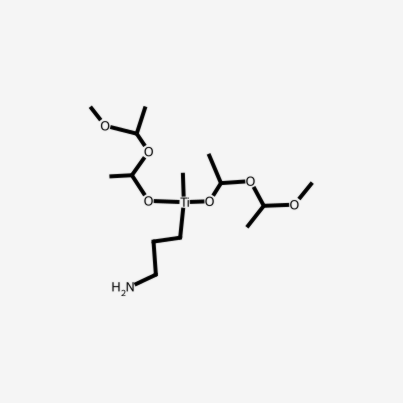 COC(C)OC(C)[O][Ti]([CH3])([CH2]CCN)[O]C(C)OC(C)OC